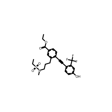 CCOC(=O)c1ccc(C#Cc2ccc(O)cc2C(F)(F)F)c(CCCN(C)S(=O)(=O)CC)c1